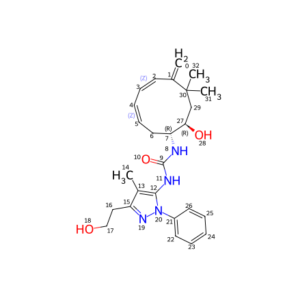 C=C1/C=C\C=C/C[C@@H](NC(=O)Nc2c(C)c(CCO)nn2-c2ccccc2)[C@H](O)CC1(C)C